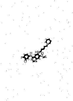 O=C(C=CCCN1CCCCC1)Nc1cc2c(Nc3ccc(F)c(Cl)c3)ncnc2cc1OCF